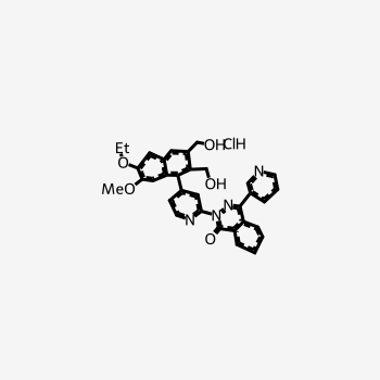 CCOc1cc2cc(CO)c(CO)c(-c3ccnc(-n4nc(-c5cccnc5)c5ccccc5c4=O)c3)c2cc1OC.Cl